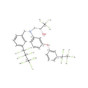 O[C@H](CN(Cc1cccc(C(F)(F)C(F)(F)C(F)(F)F)c1)c1cccc(Oc2cccc(C(F)(F)C(F)(F)F)c2)c1)C(F)(F)F